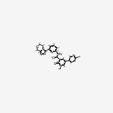 Cc1ccc(-c2cc(C(=O)Nc3cccc(-c4nnc5n4CCOC5)n3)c(=O)n(C)c2)cn1